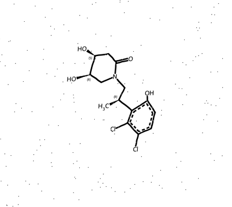 C[C@@H](CN1C[C@@H](O)[C@@H](O)CC1=O)c1c(O)ccc(Cl)c1Cl